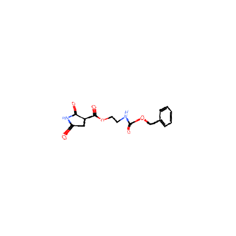 O=C1CC(C(=O)OCCNC(=O)OCc2ccccc2)C(=O)N1